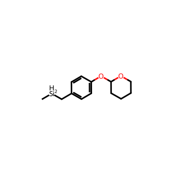 C[SiH2]Cc1ccc(OC2CCCCO2)cc1